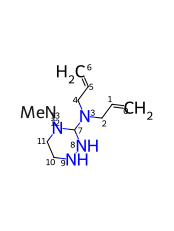 C=CCN(CC=C)C1NNCCN1NC